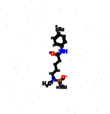 CCCCc1ccc(NC(=O)CCCCN(C)[S+]([O-])C(C)(C)C)cc1